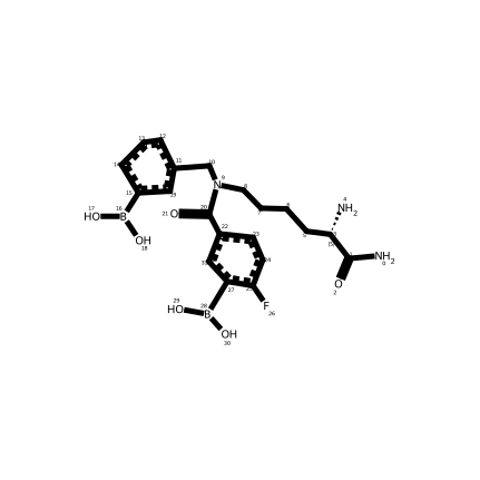 NC(=O)[C@@H](N)CCCCN(Cc1cccc(B(O)O)c1)C(=O)c1ccc(F)c(B(O)O)c1